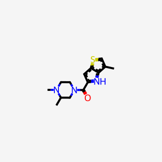 Cc1csc2cc(C(=O)N3CCN(C)C(C)C3)[nH]c12